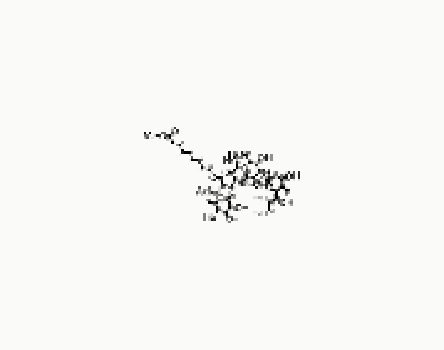 COC(=O)CCCCCCCCOC1OC(CO)C(OC2OC(CO)C(O)C(OC3(C(=O)O)CC(O)C(C)C([C@H](O)[C@H](O)CO)O3)C2O)C(OC2OC(C)C(O)C(O)C2O)C1NC(C)=O